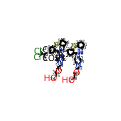 ClCCl.O=C(O)C=CC(=O)O.OCCOCCN1CCN(C2=Nc3ccccc3Sc3ccccc32)CC1.OCCOCCN1CCN(C2=Nc3ccccc3Sc3ccccc32)CC1